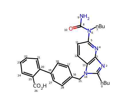 CCCCc1nc2nc(N(CCCC)C(N)=O)ccc2n1Cc1ccc(-c2ccccc2C(=O)O)cc1